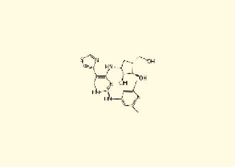 Cc1cc(NC2=NC(N[C@@H]3C[C@H](CO)[C@@H](O)[C@H]3O)=C(c3cscn3)CN2)cc(C)n1